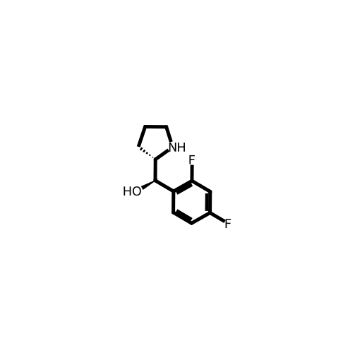 O[C@H](c1ccc(F)cc1F)[C@@H]1CCCN1